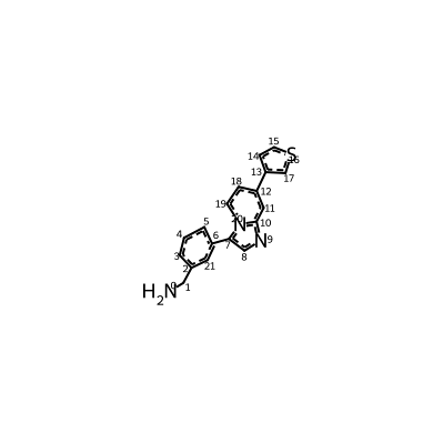 NCc1cccc(-c2cnc3cc(-c4ccsc4)ccn23)c1